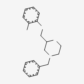 Fc1ccccc1OCC1CN(Cc2ccccc2)CCO1